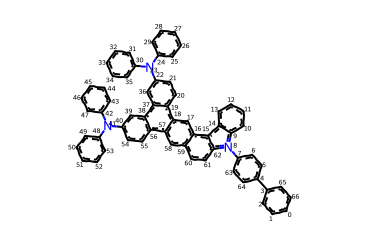 c1ccc(-c2ccc(-n3c4ccccc4c4c5cc6c7ccc(N(c8ccccc8)c8ccccc8)cc7c7cc(N(c8ccccc8)c8ccccc8)ccc7c6cc5ccc43)cc2)cc1